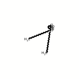 CCCCCCCCCCCCCCCCCCN(CCCCCCCCCCCCCCCCCC)C(=O)C1C=CC=C(Cl)C1=S(=O)=O